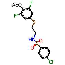 CC(=O)Oc1c(F)cc(SCCNS(=O)(=O)c2ccc(Cl)cc2)cc1F